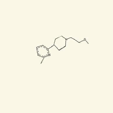 COCCN1CCC(c2cccc(C)n2)CC1